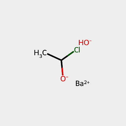 CC([O-])Cl.[Ba+2].[OH-]